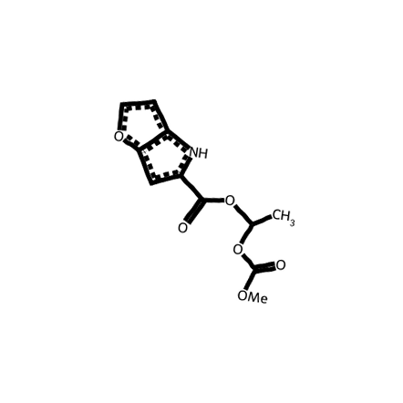 COC(=O)OC(C)OC(=O)c1cc2occc2[nH]1